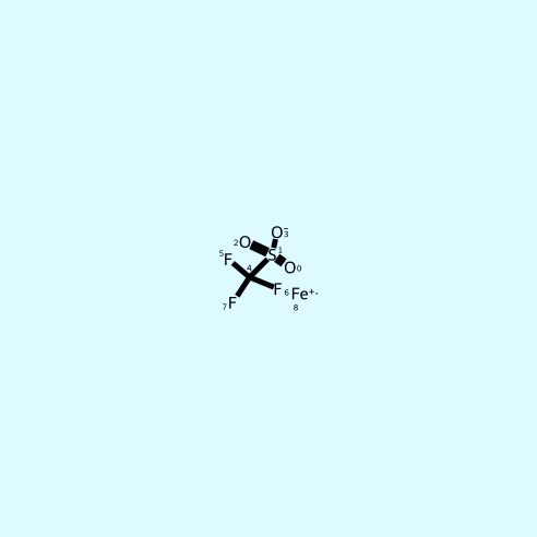 O=S(=O)([O-])C(F)(F)F.[Fe+]